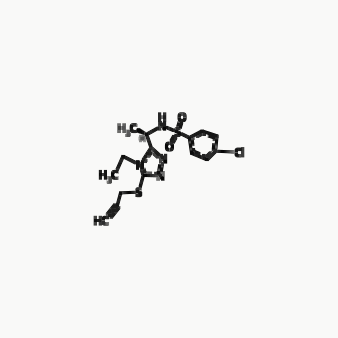 C#CCSc1nnc([C@@H](C)NS(=O)(=O)c2ccc(Cl)cc2)n1CC